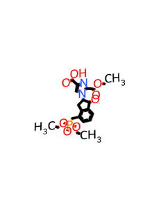 CCOC(=O)c1nc(C(=O)O)cn1C1Cc2c(CP(=O)(OCC)OCC)cccc2C1=O